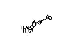 COc1cc2c(cc1OC)CC(=O)N(CC1CCCN(CCCCc3csc4ccccc34)C1)CC2